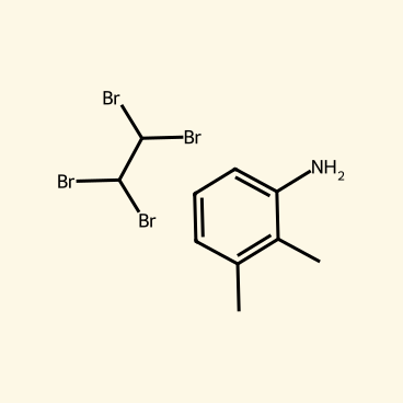 BrC(Br)C(Br)Br.Cc1cccc(N)c1C